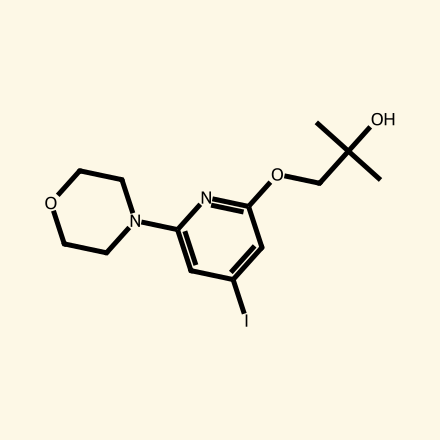 CC(C)(O)COc1cc(I)cc(N2CCOCC2)n1